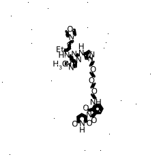 CCC(CCCN1CCOCC1)Nc1nc(Nc2cnn(CCOCCOCCOCCNc3cccc4c3C(=O)N(C3CCC(=O)NC3=O)C4=O)c2)nc2cnn(C)c12